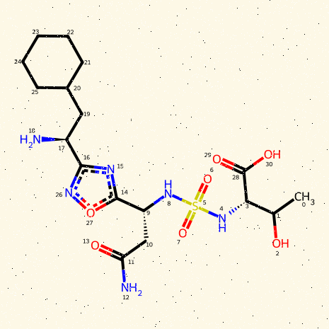 CC(O)[C@H](NS(=O)(=O)N[C@H](CC(N)=O)c1nc([C@@H](N)CC2CCCCC2)no1)C(=O)O